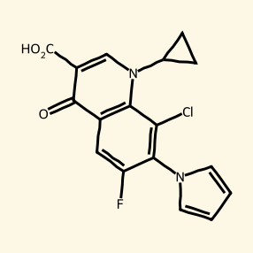 O=C(O)c1cn(C2CC2)c2c(Cl)c(-n3cccc3)c(F)cc2c1=O